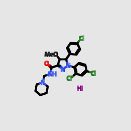 COC1C(C(=O)NCN2CCCCC2)=NN(c2ccc(Cl)cc2Cl)C1c1ccc(Cl)cc1.I